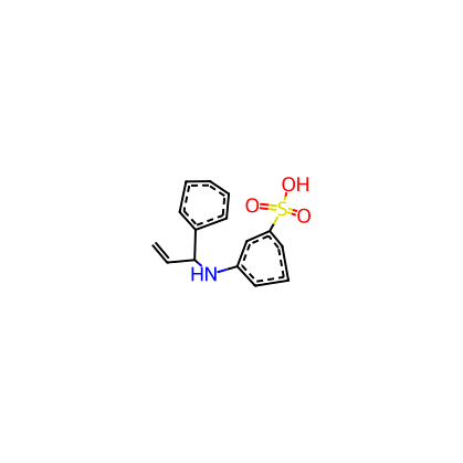 C=CC(Nc1cccc(S(=O)(=O)O)c1)c1ccccc1